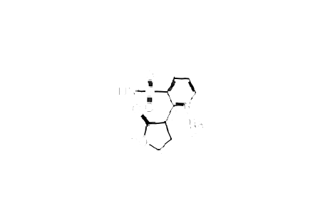 [NH-]S(=O)(=O)c1cccnc1C1CCOC1=O.[Na+]